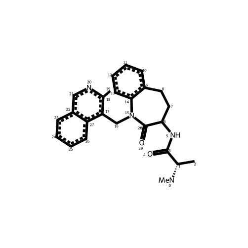 CN[C@@H](C)C(=O)NC1CCc2ccccc2N(Cc2c(C)ncc3ccccc23)C1=O